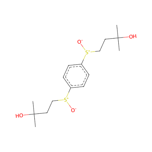 CC(C)(O)CC[S+]([O-])c1ccc([S+]([O-])CCC(C)(C)O)cc1